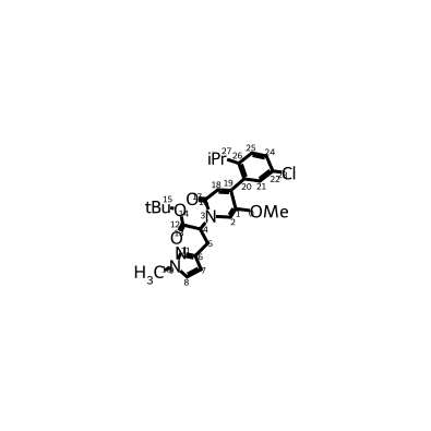 COc1cn(C(Cc2ccn(C)n2)C(=O)OC(C)(C)C)c(=O)cc1-c1cc(Cl)ccc1C(C)C